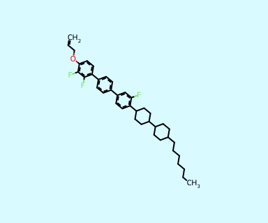 C=CCOc1ccc(-c2ccc(-c3ccc(C4CCC(C5CCC(CCCCCCC)CC5)CC4)c(F)c3)cc2)c(F)c1F